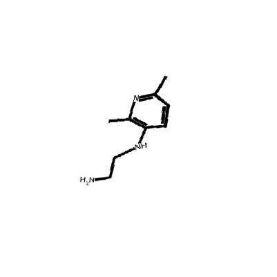 Cc1ccc(NCCN)c(C)n1